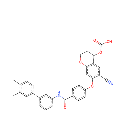 Cc1ccc(-c2cccc(NC(=O)c3ccc(Oc4cc5c(cc4C#N)C(OC(=O)O)CCO5)cc3)c2)cc1C